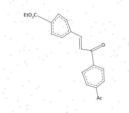 CCOC(=O)c1ccc(C=CC(=O)c2ccc(C(C)=O)cc2)cc1